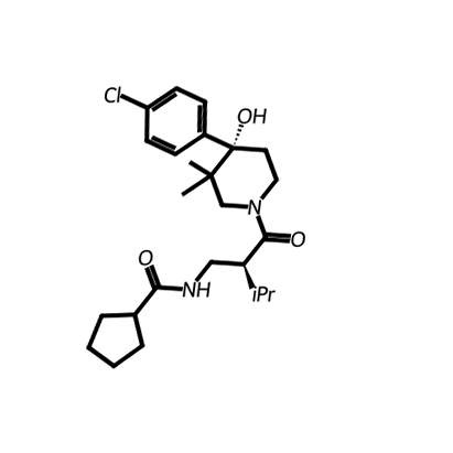 CC(C)[C@@H](CNC(=O)C1CCCC1)C(=O)N1CC[C@](O)(c2ccc(Cl)cc2)C(C)(C)C1